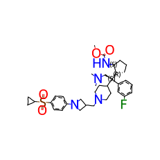 COC(=O)N[C@H]1CCC[C@@H]1[C@](CN(C)C)(c1cccc(F)c1)C1CCN(CC2CN(c3ccc(S(=O)(=O)C4CC4)cc3)C2)CC1